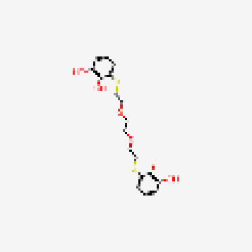 Oc1cccc(SCCOCCOCCSc2cccc(O)c2O)c1O